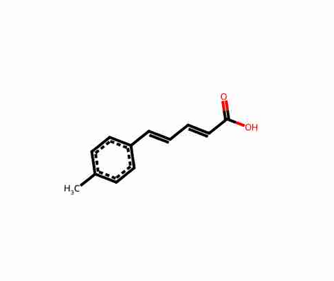 Cc1ccc(C=CC=CC(=O)O)cc1